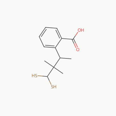 CC(c1ccccc1C(=O)O)C(C)(C)C(S)S